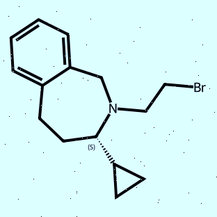 BrCCN1Cc2ccccc2CC[C@H]1C1CC1